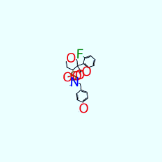 COC(=O)C1(c2ccccc2F)COCCC1S(=O)(=O)N(C)Cc1ccc(OC)cc1